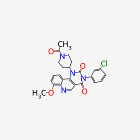 COc1cccc2c1ncc1c(=O)n(-c3cccc(Cl)c3)c(=O)n(C3CCN(C(C)=O)CC3)c12